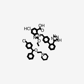 CCOc1nc2cccc(C(=O)O)c2n1Cc1ccc(-c2ccccc2-c2nnn[nH]2)cc1.Cl.Clc1ccc(C(OCCN2CCCCC2)c2ccccc2)cc1